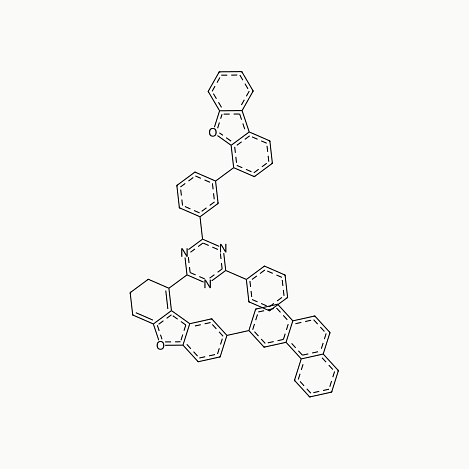 C1=c2oc3ccc(-c4ccc5ccc6ccccc6c5c4)cc3c2=C(c2nc(-c3ccccc3)nc(-c3cccc(-c4cccc5c4oc4ccccc45)c3)n2)CC1